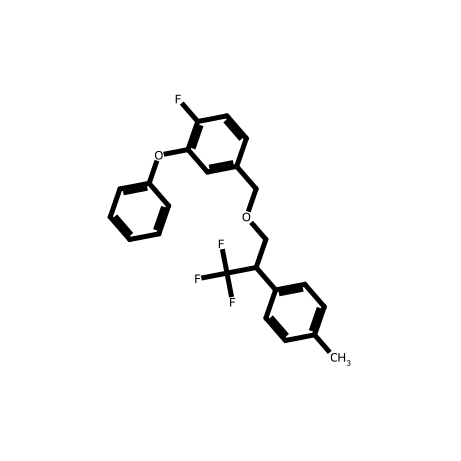 Cc1ccc(C(COCc2ccc(F)c(Oc3ccccc3)c2)C(F)(F)F)cc1